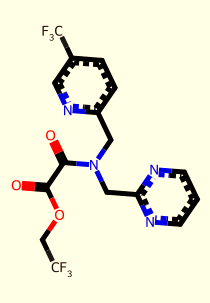 O=C(OCC(F)(F)F)C(=O)N(Cc1ccc(C(F)(F)F)cn1)Cc1ncccn1